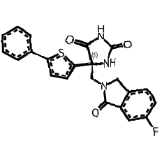 O=C1NC(=O)[C@@](CN2Cc3ccc(F)cc3C2=O)(c2ccc(-c3ccccc3)s2)N1